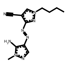 CCCCn1cc(C#N)c(N=Nc2cnn(C)c2N)n1